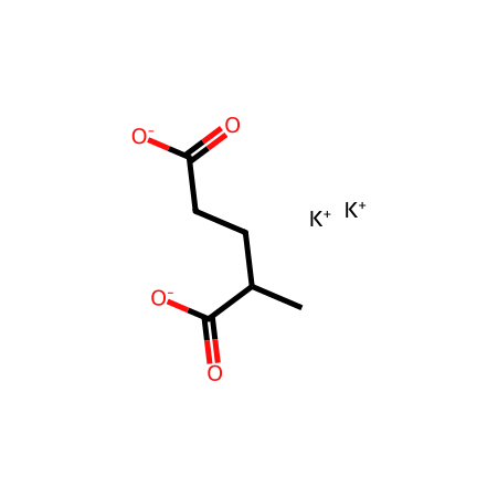 CC(CCC(=O)[O-])C(=O)[O-].[K+].[K+]